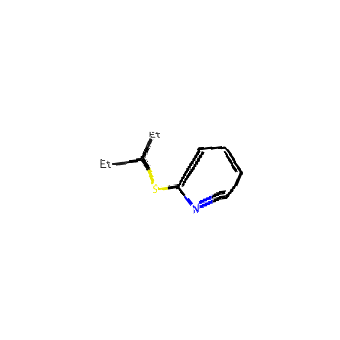 CCC(CC)Sc1ccccn1